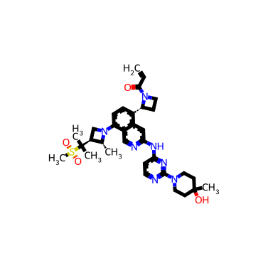 C=CC(=O)N1CC[C@@H]1c1ccc(N2C[C@H](C(C)(C)S(C)(=O)=O)[C@H]2C)c2cnc(Nc3ccnc(N4CCC(C)(O)CC4)n3)cc12